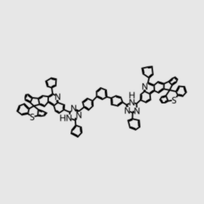 c1ccc(C2=NC(c3ccc4c(c3)nc(-c3ccccc3)c3cc5c(cc34)C3(c4ccccc4Sc4ccccc43)c3ccccc3-5)NC(c3ccc(-c4cccc(-c5ccc(C6=NC(c7ccc8c(c7)nc(-c7ccccc7)c7cc9c(cc78)C7(c8ccccc8Sc8ccccc87)c7ccccc7-9)NC(c7ccccc7)=N6)cc5)c4)cc3)=N2)cc1